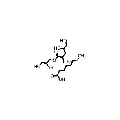 CCCCCCCC(=O)O.CCCCCCCCCCC(CC(O)CO)C(=O)OCC(O)CO